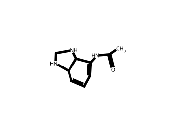 CC(=O)NC1=CC=CC2NCNC12